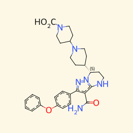 NC(=O)c1c(-c2ccc(Oc3ccccc3)cc2)nn2c1NCC[C@H]2C1CCN(C2CCN(C(=O)O)CC2)CC1